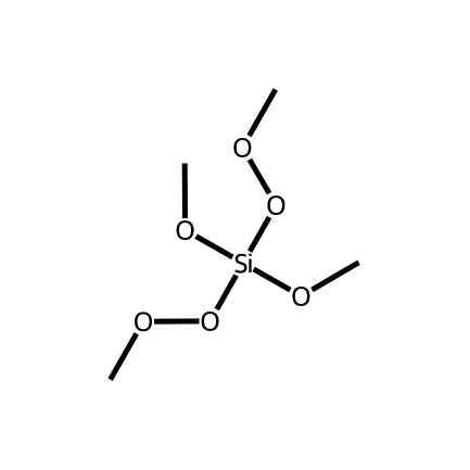 COO[Si](OC)(OC)OOC